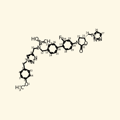 COc1ccc(Cn2cc(CN(Cc3ccc(-c4ccc(N5C[C@H](Cn6ccnn6)OC5=O)cc4F)cc3)B(C)O)nn2)cc1